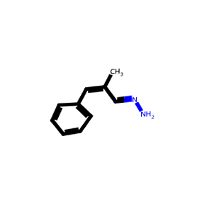 CC(C=NN)=Cc1ccccc1